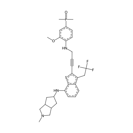 COc1cc(P(C)(C)=O)ccc1NCC#Cc1sc2c(NC3CC4CN(C)CC4C3)cccc2c1CC(F)(F)F